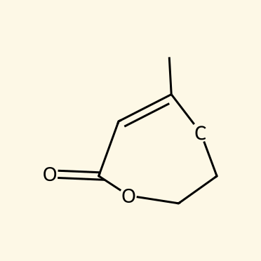 CC1=CC(=O)OCCC1